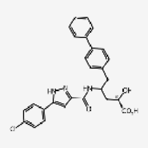 O=C(NC(Cc1ccc(-c2ccccc2)cc1)C[C@@H](O)C(=O)O)c1cc(-c2ccc(Cl)cc2)[nH]n1